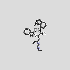 C=C/C(=C\C=C/C)CC(NC(=O)c1ccccc1)C(=O)Nc1cccc2ccn(C)c12